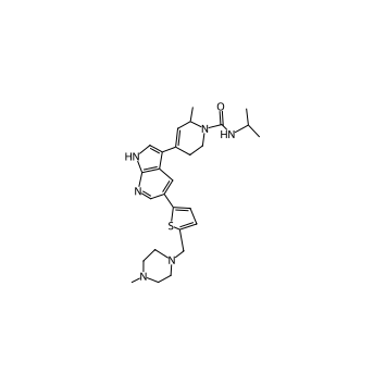 CC(C)NC(=O)N1CCC(c2c[nH]c3ncc(-c4ccc(CN5CCN(C)CC5)s4)cc23)=CC1C